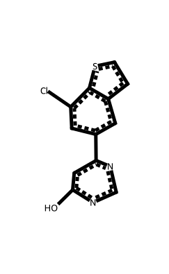 Oc1cc(-c2cc(Cl)c3sccc3c2)ncn1